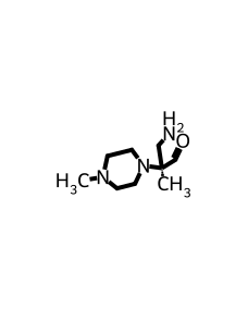 CN1CCN([C@](C)(C=O)CN)CC1